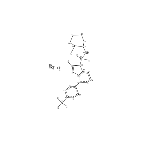 CC1=Cc2c(-c3ccc(C(C)(C)C)cc3)cccc2C1[Si](C)(C)NC1CCCCC1C.[Cl-].[Cl-].[Ti+2]